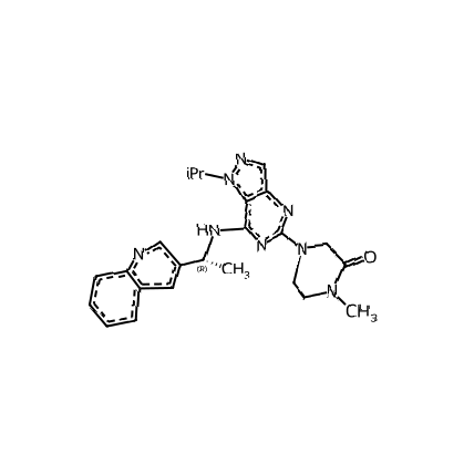 CC(C)n1ncc2nc(N3CCN(C)C(=O)C3)nc(N[C@H](C)c3cnc4ccccc4c3)c21